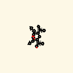 Cc1ccc(-c2ccc3c(c2)c2ccccc2n3-c2cc(-c3cccc(-c4cc(-c5nc(-c6ccccc6)nc(-c6ccccc6)n5)cc(-n5c6ccccc6c6cc(-c7ccc(C)cc7C)ccc65)c4)c3)cc(-c3nc(-c4ccccc4)nc(-c4ccccc4)n3)c2)c(C)c1